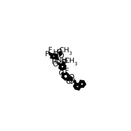 COC(=O)[C@@H]1[C@H](NC(=O)c2cc(OC3CCC(C)(C(=O)OCc4cccc5ccccc45)CC3)c(F)cc2OC)[C@H]2CC(=C(F)F)[C@@H]1C2